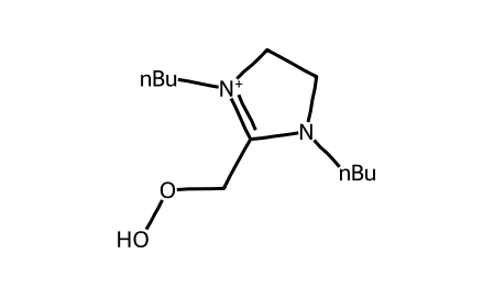 CCCCN1CC[N+](CCCC)=C1COO